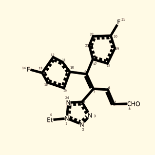 CCn1nnc(C(C=CC=O)=C(c2ccc(F)cc2)c2ccc(F)cc2)n1